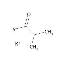 CC(C)C(=O)[S-].[K+]